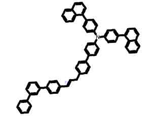 C(=C\c1ccc(-c2cccc(-c3ccccc3)c2)cc1)/Cc1ccc(-c2ccc(N(c3ccc(-c4cccc5ccccc45)cc3)c3ccc(-c4cccc5ccccc45)cc3)cc2)cc1